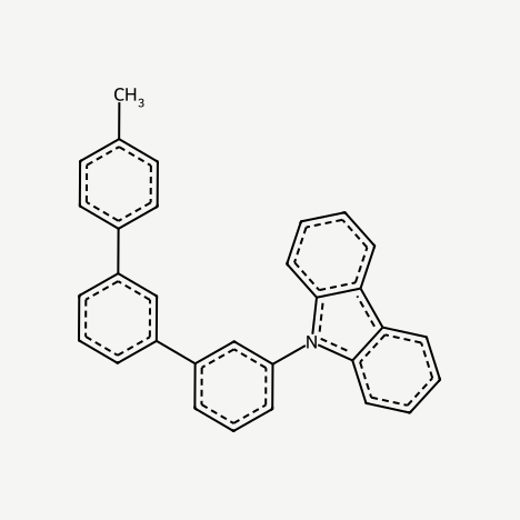 Cc1ccc(-c2cccc(-c3cccc(-n4c5ccccc5c5ccccc54)c3)c2)cc1